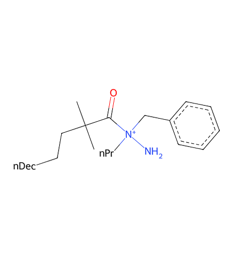 CCCCCCCCCCCCC(C)(C)C(=O)[N+](N)(CCC)Cc1ccccc1